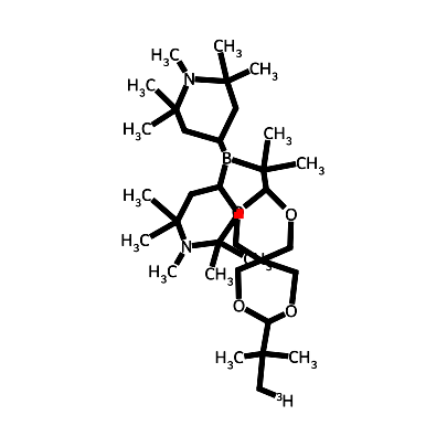 [3H]CC(C)(C)C1OCC2(CO1)COC(C(C)(C)B(C1CC(C)(C)N(C)C(C)(C)C1)C1CC(C)(C)N(C)C(C)(C)C1)OC2